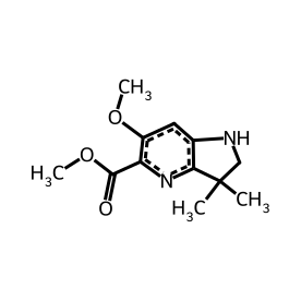 COC(=O)c1nc2c(cc1OC)NCC2(C)C